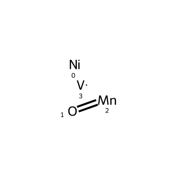 [Ni].[O]=[Mn].[V]